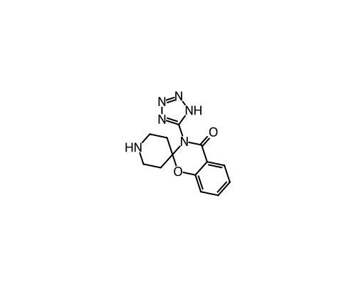 O=C1c2ccccc2OC2(CCNCC2)N1c1nnn[nH]1